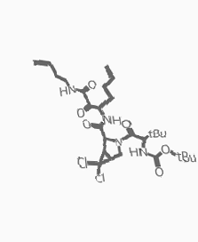 C=CCCNC(=O)C(=O)C(CCC=C)NC(=O)C1C2C(CN1C(=O)C(NC(=O)OC(C)(C)C)C(C)(C)C)C2(Cl)Cl